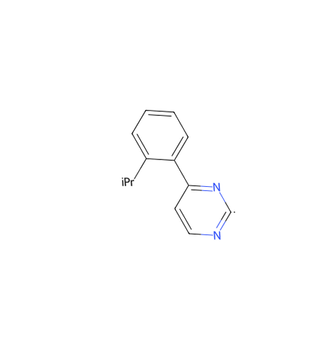 CC(C)c1ccccc1-c1ccn[c]n1